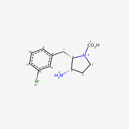 N[C@H]1CCN(C(=O)O)[C@H]1Cc1cccc(Br)c1